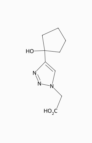 O=C(O)Cn1cc(C2(O)CCCC2)nn1